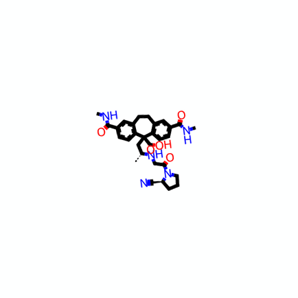 CNC(=O)c1ccc2c(c1)CCc1cc(C(=O)NC)ccc1C2(C[C@@H](C)NCC(=O)N1CCC[C@H]1C#N)C(=O)O